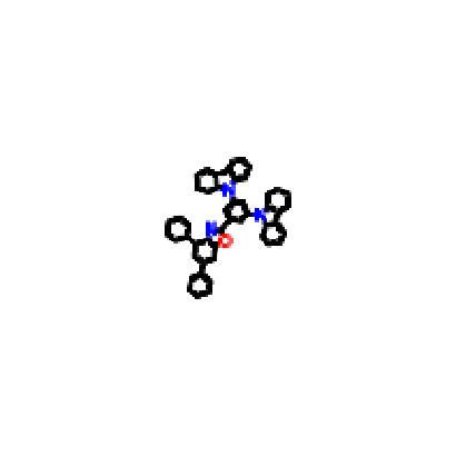 c1ccc(-c2cc(-c3ccccc3)c3nc(-c4cc(-n5c6ccccc6c6ccccc65)cc(-n5c6ccccc6c6ccccc65)c4)oc3c2)cc1